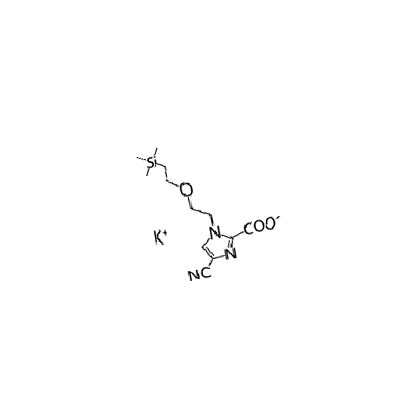 C[Si](C)(C)CCOCCn1cc(C#N)nc1C(=O)[O-].[K+]